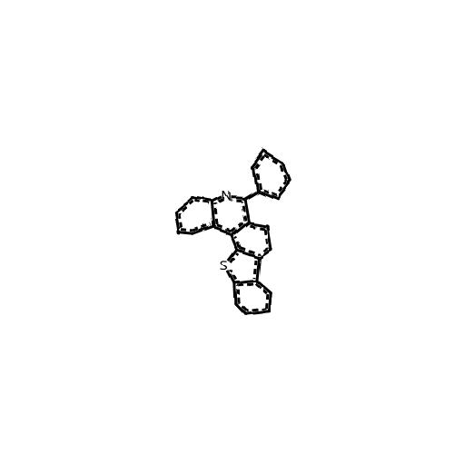 c1ccc(-c2nc3ccccc3c3c2ccc2c4ccccc4sc23)cc1